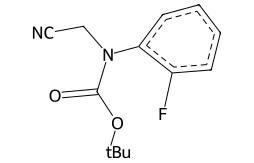 CC(C)(C)OC(=O)N(CC#N)c1ccccc1F